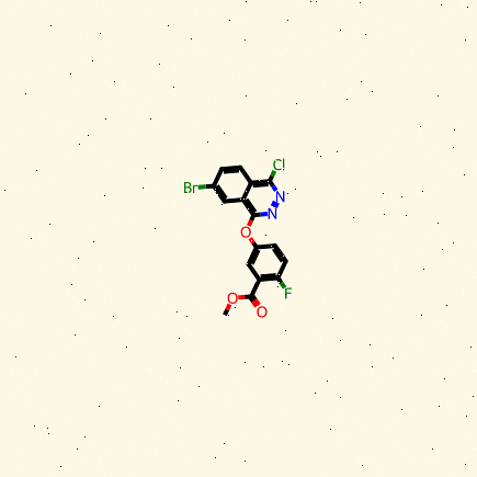 COC(=O)c1cc(Oc2nnc(Cl)c3ccc(Br)cc23)ccc1F